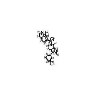 CC1c2nn(C)c(-c3cccc(Cl)c3)c2CCN1C(=O)c1ccc2cc[nH]c2n1